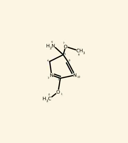 COC1=NCC(N)(OC)C=N1